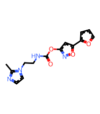 Cc1nccn1CCNC(=O)Oc1cc(-c2ccco2)on1